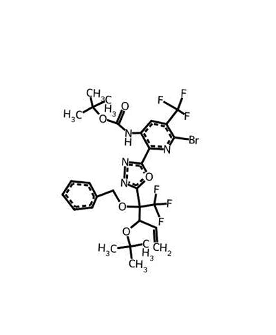 C=CC(OC(C)(C)C)C(OCc1ccccc1)(c1nnc(-c2nc(Br)c(C(F)(F)F)cc2NC(=O)OC(C)(C)C)o1)C(F)(F)F